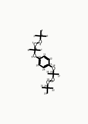 CC(C)(C)OOC(C)(C)Oc1ccc(OC(C)(C)OOC(C)(C)C)cc1